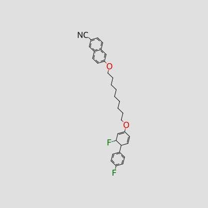 N#Cc1ccc2cc(OCCCCCCCCCOC3=CC(F)C(c4ccc(F)cc4)C=C3)ccc2c1